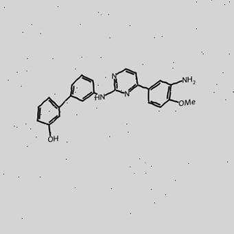 COc1ccc(-c2ccnc(Nc3cccc(-c4cccc(O)c4)c3)n2)cc1N